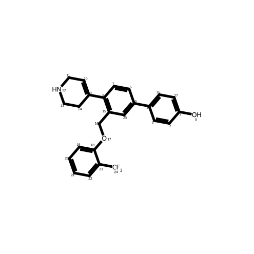 Oc1ccc(-c2ccc(C3=CCNCC3)c(COc3ccccc3C(F)(F)F)c2)cc1